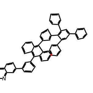 c1ccc(-c2cc(-c3ccccc3)c(-c3cccc(-c4c5ccccc5c(-c5cccc(-c6ccc7cccnc7c6)c5)c5ccccc45)c3)c(-c3ccccc3)c2)cc1